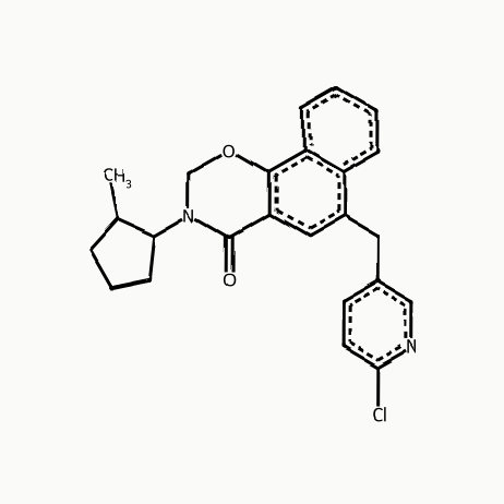 CC1CCCC1N1COc2c(cc(Cc3ccc(Cl)nc3)c3ccccc23)C1=O